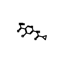 CNC(=O)c1cnc(NC(=O)C2CC2)cc1Cl